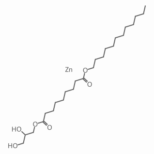 CCCCCCCCCCCCOC(=O)CCCCCCCC(=O)OCC(O)CO.[Zn]